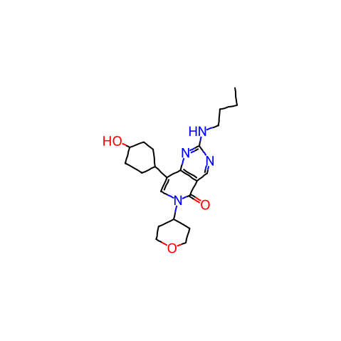 CCCCNc1ncc2c(=O)n(C3CCOCC3)cc(C3CCC(O)CC3)c2n1